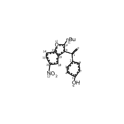 C=C(c1ccc(O)cc1)c1c(CCCC)oc2ccc([N+](=O)[O-])cc12